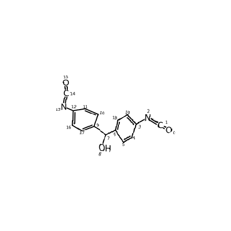 O=C=Nc1ccc(C(O)c2ccc(N=C=O)cc2)cc1